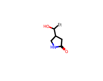 CCC(O)C1CNC(=O)C1